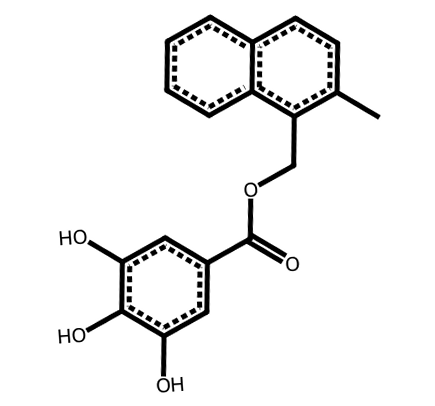 Cc1ccc2ccccc2c1COC(=O)c1cc(O)c(O)c(O)c1